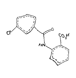 O=C(Nc1ccccc1C(=O)O)c1cccc(Cl)c1